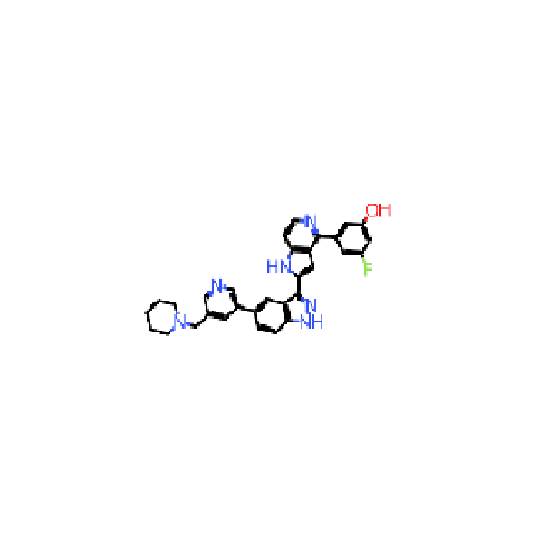 Oc1cc(F)cc(-c2nccc3[nH]c(-c4n[nH]c5ccc(-c6cncc(CN7CCCCC7)c6)cc45)cc23)c1